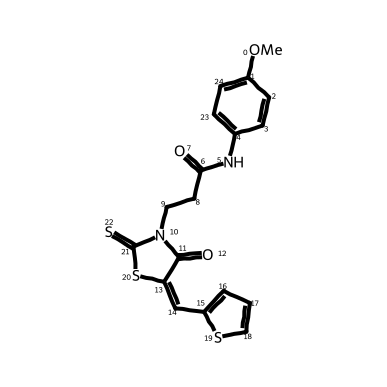 COc1ccc(NC(=O)CCN2C(=O)/C(=C\c3cccs3)SC2=S)cc1